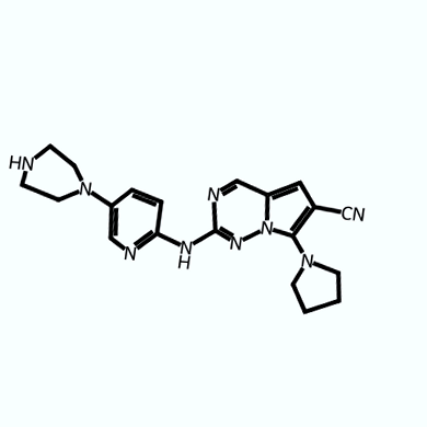 N#Cc1cc2cnc(Nc3ccc(N4CCNCC4)cn3)nn2c1N1CCCC1